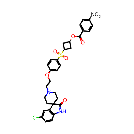 O=C(O[C@H]1C[C@H](S(=O)(=O)c2ccc(OCCN3CCC4(CC3)C(=O)Nc3ccc(Cl)cc34)cc2)C1)c1ccc([N+](=O)[O-])cc1